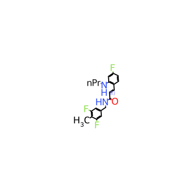 CCCNc1cc(F)ccc1/C=C/C(=O)NCc1cc(F)c(C)c(F)c1